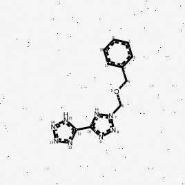 c1ccc(COCn2nnc(-c3nnn[nH]3)n2)cc1